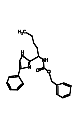 CCCCC(NC(=O)OCc1ccccc1)c1nc(-c2ccccc2)c[nH]1